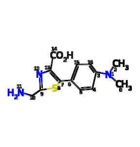 CN(C)c1ccc(-c2sc(CN)nc2C(=O)O)cc1